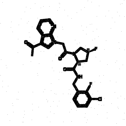 CC(=O)c1cn(CC(=O)N2C[C@H](F)C[C@H]2C(=O)NCc2cccc(Cl)c2F)c2ncccc12